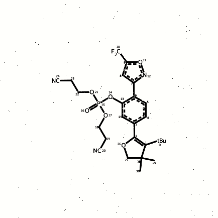 CC(C)(C)C1=C(c2ccc(-c3cc(C(F)(F)F)on3)c(OP(=O)(OCCC#N)OCCC#N)c2)OCC1(C)C